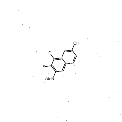 CNc1cc2ccc(O)cc2c(F)c1F